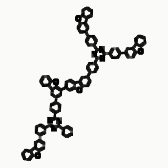 c1ccc(-c2nc(-c3ccc(-c4cc(-c5ccc6c(c5)oc5ccc(-c7ccc(-c8nc(-c9ccc(-c%10ccc%11oc%12ccccc%12c%11c%10)cc9)nc(-c9ccc(-c%10ccc%11oc%12ccccc%12c%11c%10)cc9)n8)cc7)cc56)c5oc6ccccc6c5c4)cc3)nc(-c3cccc(-c4ccc5oc6ccccc6c5c4)c3)n2)cc1